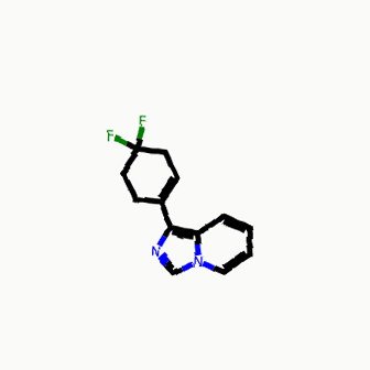 FC1(F)CC=C(c2ncn3ccccc23)CC1